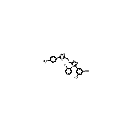 Cc1ccc(-c2nnc(CSc3nnc(-c4cc(O)cc(O)c4)n3-c3ccccc3Cl)o2)cc1